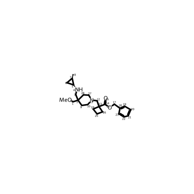 COCC1(CN[C@@H]2C[C@H]2C)CCN(CC2(C(=O)OCc3ccccc3)CCC2)CC1